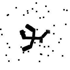 C=C[Si](C=C)(C=C)NCC